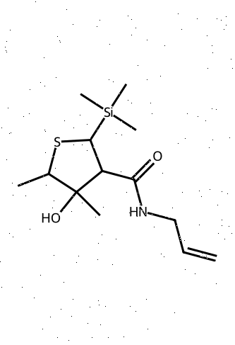 C=CCNC(=O)C1C([Si](C)(C)C)SC(C)C1(C)O